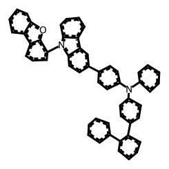 c1ccc(-c2ccccc2-c2ccc(N(c3ccccc3)c3ccc(-c4ccc5c(c4)c4ccccc4n5-c4cccc5c4oc4ccccc45)cc3)cc2)cc1